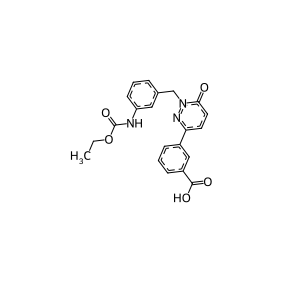 CCOC(=O)Nc1cccc(Cn2nc(-c3cccc(C(=O)O)c3)ccc2=O)c1